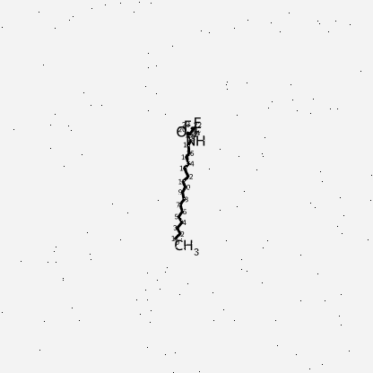 CCCCCCCCCCCCCCCCCCNC(=O)C(F)(F)F